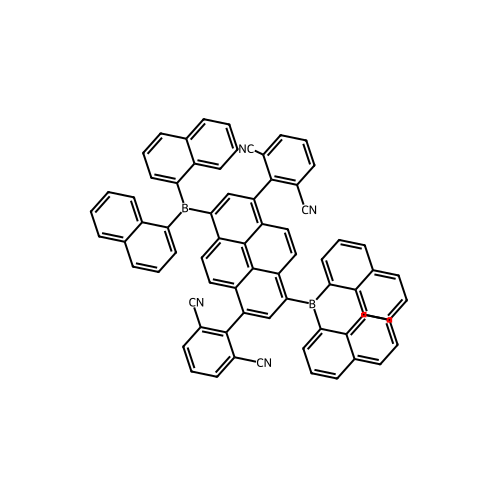 N#Cc1cccc(C#N)c1-c1cc(B(c2cccc3ccccc23)c2cccc3ccccc23)c2ccc3c(-c4c(C#N)cccc4C#N)cc(B(c4cccc5ccccc45)c4cccc5ccccc45)c4ccc1c2c43